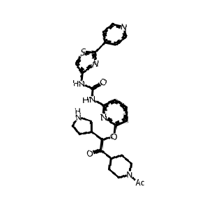 CC(=O)N1CCC(C(=O)C(Oc2cccc(NC(=O)Nc3csc(-c4ccncc4)n3)n2)C2CCNC2)CC1